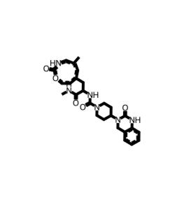 CNC(=O)C(Cc1ccoc(=O)[nH]cc(C)c1)NC(=O)N1CCC(N2Cc3ccccc3NC2=O)CC1